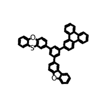 c1ccc2c(c1)Oc1ccc(-c3cc(-c4ccc5oc6ccccc6c5c4)cc(-c4ccc5c6ccccc6c6ccccc6c5c4)c3)cc1S2